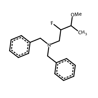 COC(C)C(F)CN(Cc1ccccc1)Cc1ccccc1